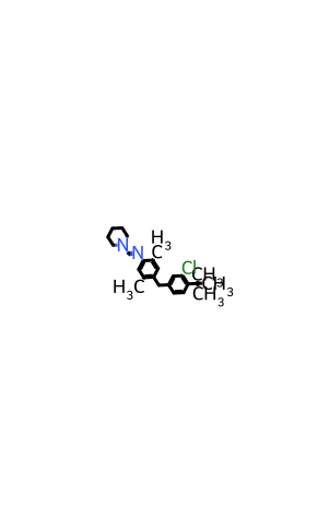 Cc1cc(N=CN2CCCCC2)c(C)cc1Cc1ccc(C(C)(C)C)c(Cl)c1